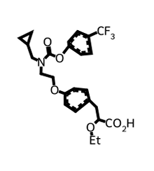 CCOC(Cc1ccc(OCCN(CC2CC2)C(=O)Oc2ccc(C(F)(F)F)cc2)cc1)C(=O)O